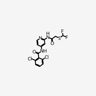 O=C(CSC(F)F)Nc1cc(NC(=O)c2c(Cl)cccc2Cl)ccn1